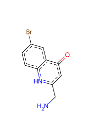 NCc1cc(=O)c2cc(Br)ccc2[nH]1